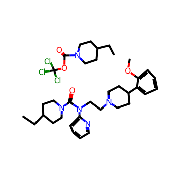 CCC1CCN(C(=O)N(CCN2CCC(c3ccccc3OC)CC2)c2ccccn2)CC1.CCC1CCN(C(=O)OC(Cl)(Cl)Cl)CC1